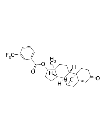 C[C@]12CC[C@H]3[C@@H](CCC4=CC(=O)CC[C@@]43C)[C@@H]1CC[C@@H]2OC(=O)c1cccc(C(F)(F)F)c1